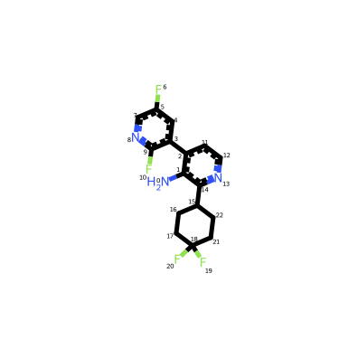 Nc1c(-c2cc(F)cnc2F)ccnc1C1CCC(F)(F)CC1